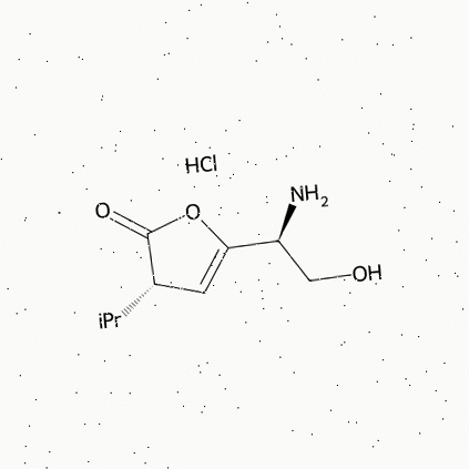 CC(C)[C@H]1C=C([C@@H](N)CO)OC1=O.Cl